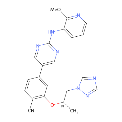 COc1ncccc1Nc1ncc(-c2ccc(C#N)c(O[C@@H](C)Cn3cncn3)c2)cn1